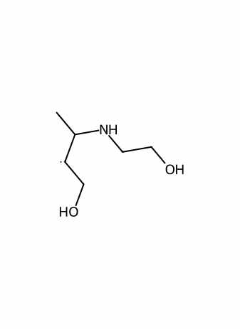 CC([CH]CO)NCCO